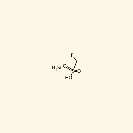 O=S(=O)(O)CF.[SiH4]